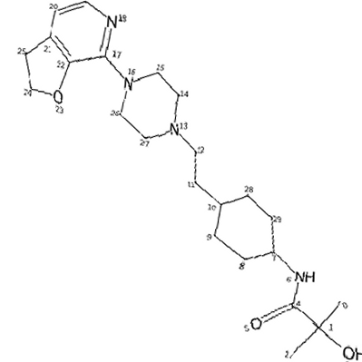 CC(C)(O)C(=O)NC1CCC(CCN2CCN(c3nccc4c3OCC4)CC2)CC1